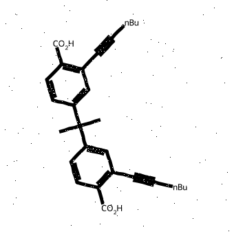 CCCCC#Cc1cc(C(C)(C)c2ccc(C(=O)O)c(C#CCCCC)c2)ccc1C(=O)O